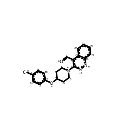 O=Cc1c(N2CCC(Oc3ccc(Cl)cc3)CC2)nnc2ccccc12